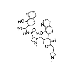 CC(C)C(NC(=O)C1CN(C)C1CC(C)C(NC(=O)CC1CN(C)C1)c1ccc2cccnc2c1O)c1ccc2cccnc2c1O